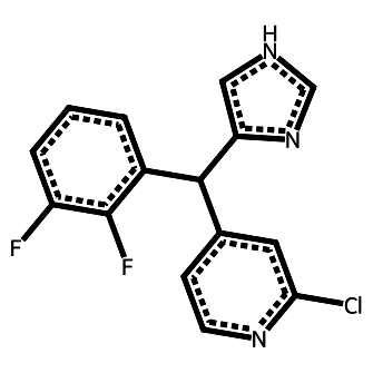 Fc1cccc(C(c2ccnc(Cl)c2)c2c[nH]cn2)c1F